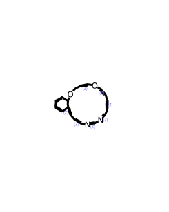 C1=C/C2=C/C=C\N=C/N=C\C=C/C=C\O/C=C\COC2C=C1